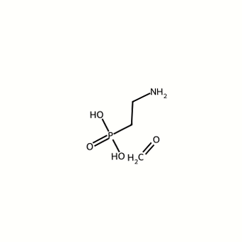 C=O.NCCP(=O)(O)O